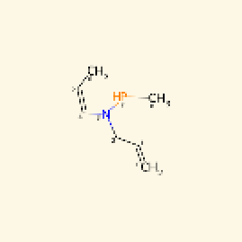 C=CCN(/C=C\C)PC